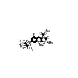 CC(C)(C)OC(=O)C(Cc1ccc(B2OC(C)(C)C(C)(C)O2)cc1F)N(C(=O)OC(C)(C)C)C(=O)OC(C)(C)C